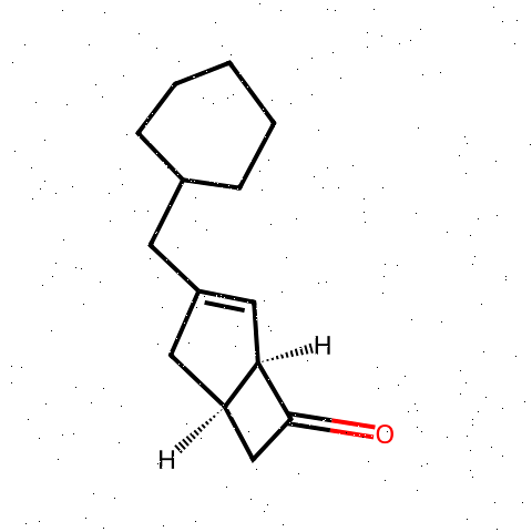 O=C1C[C@H]2CC(CC3CCCCC3)=C[C@@H]12